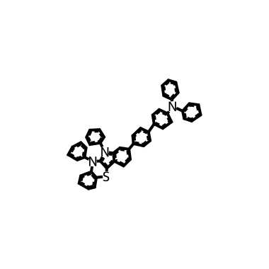 c1ccc(N(c2ccccc2)c2ccc(-c3ccc(-c4ccc5c6c(n(-c7ccccc7)c5c4)N(c4ccccc4)c4ccccc4S6)cc3)cc2)cc1